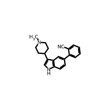 CN1CCC(c2c[nH]c3ccc(-c4ccccc4C#N)cc23)CC1